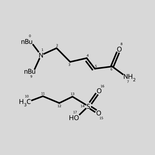 CCCCN(CCC=CC(N)=O)CCCC.CCCCS(=O)(=O)O